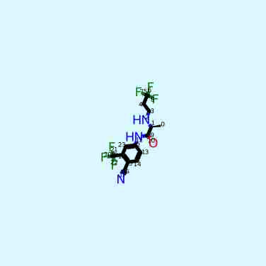 C[C@H](NCCC(F)(F)F)C(=O)Nc1ccc(C#N)c(C(F)(F)F)c1